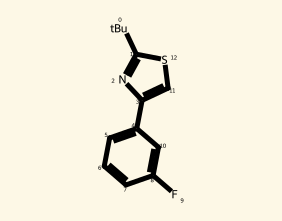 CC(C)(C)c1nc(-c2cccc(F)c2)cs1